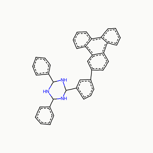 c1ccc(C2NC(c3ccccc3)NC(c3cccc(-c4ccc5c6ccccc6c6ccccc6c5c4)c3)N2)cc1